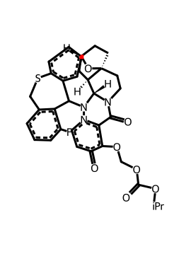 CC(C)OC(=O)OCOc1c2n(ccc1=O)N(C1c3ccccc3SCc3cccc(F)c31)[C@@H]1[C@H]3C[C@@H]4CC[C@@]3(CCN1C2=O)O4